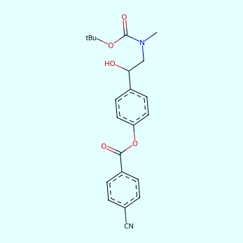 CN(CC(O)c1ccc(OC(=O)c2ccc(C#N)cc2)cc1)C(=O)OC(C)(C)C